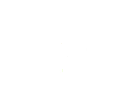 CCCCCCl.Clc1cccc(Cl)c1